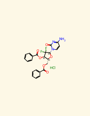 Cl.Nc1ccn([C@@H]2O[C@H](COC(=O)c3ccccc3)[C@@H](OC(=O)c3ccccc3)C2(F)F)c(=O)n1